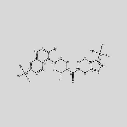 CC1CN(c2c(Br)cnc3cc(C(C)(F)F)ccc23)CCC1C(=O)N1CCn2c(nnc2C(F)(F)F)C1